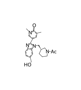 CC(=O)N1CCC[C@@H](Cn2c(-c3cc(C)c(=O)n(C)c3)nc3ccc(CO)cc32)C1